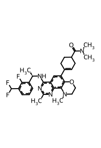 Cc1nc(N[C@H](C)c2cccc(C(F)F)c2F)c2cc(C3=CCC(C(=O)N(C)C)CC3)c3c(c2n1)N(C)CCO3